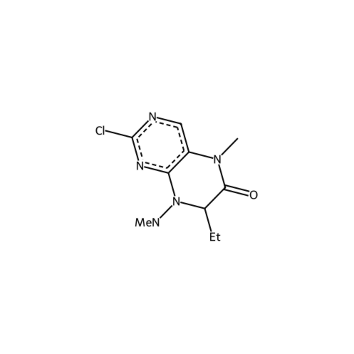 CCC1C(=O)N(C)c2cnc(Cl)nc2N1NC